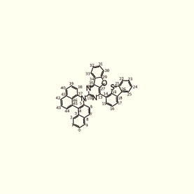 c1ccc2c3c(ccc2c1)N(c1nc(-c2cccc4c2sc2ccccc24)c2oc4ccccc4c2n1)c1cccc2cccc-3c12